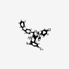 O=C(c1[nH]c2c(F)cc(F)cc2c1S(=O)(=O)c1ccc(Cl)cc1)N1CCC(Cc2ccccc2)CC1